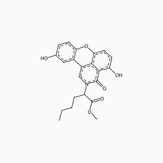 CCCCC(C(=O)OC)n1cc2c3c(ccc(O)c3c1=O)Oc1ccc(O)cc1-2